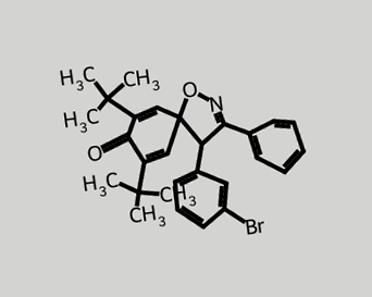 CC(C)(C)C1=CC2(C=C(C(C)(C)C)C1=O)ON=C(c1ccccc1)C2c1cccc(Br)c1